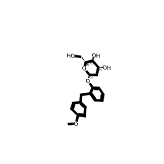 COc1ccc(Cc2ccccc2O[C@H]2C[C@@H](O)[C@H](O)[C@@H](CO)O2)cc1